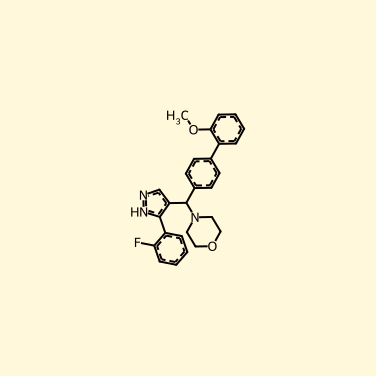 COc1ccccc1-c1ccc(C(c2cn[nH]c2-c2ccccc2F)N2CCOCC2)cc1